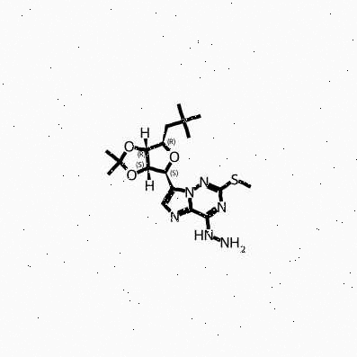 CSc1nc(NN)c2ncc([C@@H]3O[C@H](CC(C)(C)C)[C@H]4OC(C)(C)O[C@H]43)n2n1